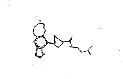 CC(C)CCNC(=O)C1CN(c2c3c(nc4ccnn24)CCNCC3)C1